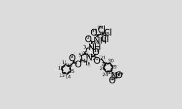 O=C(NC[C@@H]1C[C@H](OC(=O)c2ccccc2)CN1C(=O)OCc1ccc([N+](=O)[O-])cc1)NC(=O)C(Cl)(Cl)Cl